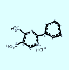 Cc1nc(-c2ccccc2)ncc1C(=O)O.Cl